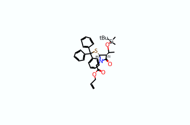 C=CCOC(=O)CN1C(=O)[C@H](C(C)O[Si](C)(C)C(C)(C)C)[C@H]1SC(c1ccccc1)(c1ccccc1)c1ccccc1